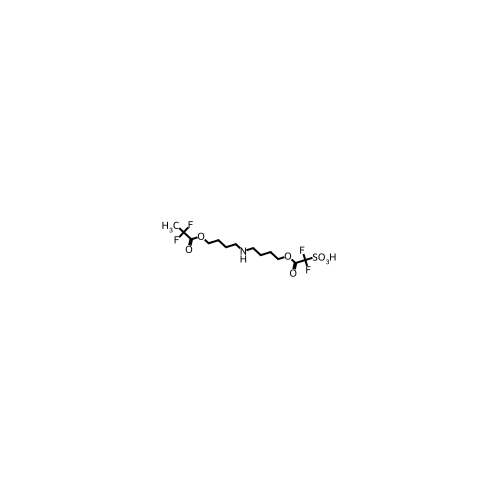 CC(F)(F)C(=O)OCCCCNCCCCOC(=O)C(F)(F)S(=O)(=O)O